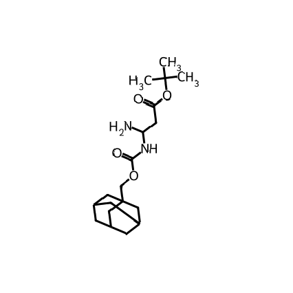 CC(C)(C)OC(=O)CC(N)NC(=O)OCC12CC3CC(CC(C3)C1)C2